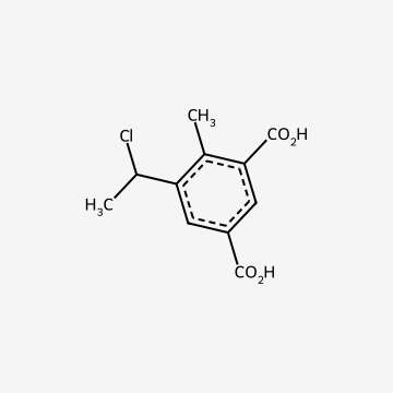 Cc1c(C(=O)O)cc(C(=O)O)cc1C(C)Cl